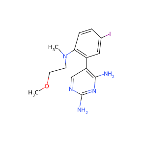 COCCN(C)c1ccc(I)cc1-c1cnc(N)nc1N